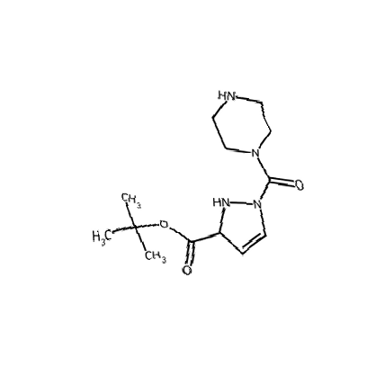 CC(C)(C)OC(=O)C1C=CN(C(=O)N2CCNCC2)N1